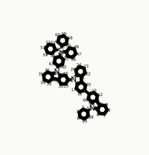 c1ccc(-n2c3ccccc3c3ccc(-c4ccc5c(c4)c4ccccc4n5-c4ccc5c6ccccc6n(-c6ccc([Si](c7ccccc7)(c7ccccc7)c7ccccc7)cc6)c5c4)cc32)cc1